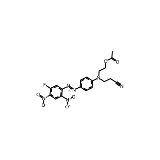 CC(=O)OCCN(CCC#N)c1ccc(/N=N/c2cc(F)c([N+](=O)[O-])cc2[N+](=O)[O-])cc1